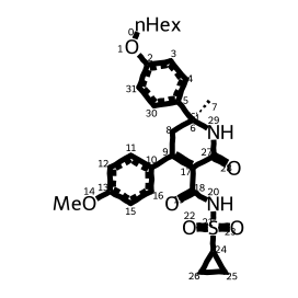 CCCCCCOc1ccc([C@]2(C)CC(c3ccc(OC)cc3)=C(C(=O)NS(=O)(=O)C3CC3)C(=O)N2)cc1